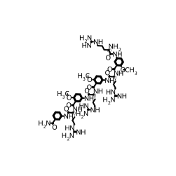 COc1ccc(NC(=O)[C@H](N)CCCNC(=N)N)cc1C(=O)N[C@H](CCCNC(=N)N)C(=O)Nc1ccc(OC)c(C(=O)N[C@H](CCCNC(=N)N)C(=O)Nc2ccc(OC)c(C(=O)N[C@H](CCCNC(=N)N)C(=O)Nc3cccc(C(N)=O)c3)c2)c1